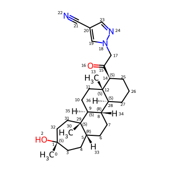 C[C@]1(O)CC[C@H]2CC[C@@H]3[C@H](CC[C@]4(C)[C@@H](C(=O)Cn5cc(C#N)cn5)CCC[C@@H]34)[C@@]2(C)CC1